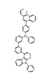 C/C=C\c1cc(-c2ccc(N(c3ccccc3)c3cccc(-c4cccc(C5=CCCc6c5c5ccccc5n6-c5ccccc5)c4)c3)cc2)c2ccccc2c1C